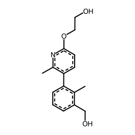 Cc1nc(OCCO)ccc1-c1cccc(CO)c1C